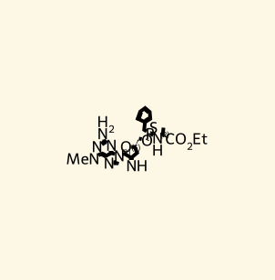 CCOC(=O)[C@@H](C)NP(=S)(Cc1ccccc1)OC[C@@H]1CC(=N)[C@H](n2cnc3c(NC)nc(N)nc32)O1